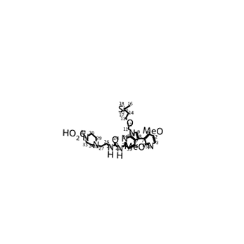 COc1ccnc(OC)c1-c1cn(COCC[Si](C)(C)C)c2nc(NC(=O)NCCN3CCN(C(=O)O)CC3)ccc12